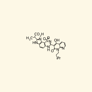 CC(C)CCn1c(=O)c(C2=NS(=O)(=O)c3c(ccc4[nH]c(C(C)C(=O)O)nc34)N2)c(O)c2cccnc21